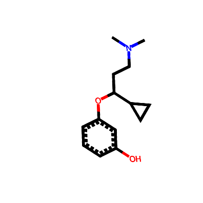 CN(C)CCC(Oc1cccc(O)c1)C1CC1